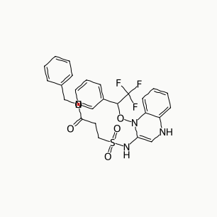 O=C(CCS(=O)(=O)NC1=CNc2ccccc2N1OC(c1cccnc1)C(F)(F)F)OCc1ccccc1